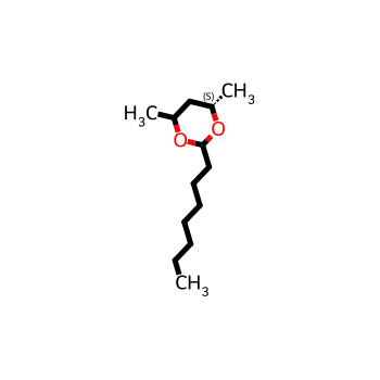 CCCCCCCC1OC(C)C[C@H](C)O1